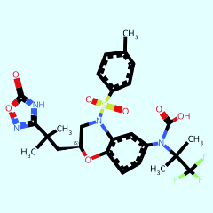 Cc1ccc(S(=O)(=O)N2C[C@H](CC(C)(C)c3noc(=O)[nH]3)Oc3ccc(N(C(=O)O)C(C)(C)C(F)(F)F)cc32)cc1